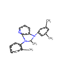 Cc1cc(C)cc(N2c3cccnc3N(c3ccccc3C)C2C)c1